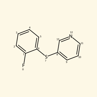 Fc1ccccc1Sc1cccnc1